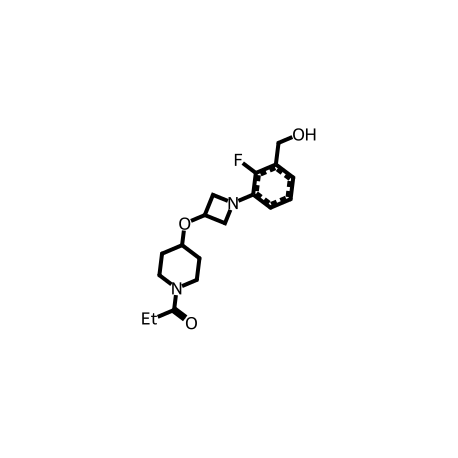 CCC(=O)N1CCC(OC2CN(c3cccc(CO)c3F)C2)CC1